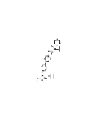 CC(=O)N(O)C(C)c1ccc(-c2ccc(OCc3nc4ccccc4s3)cc2)cc1